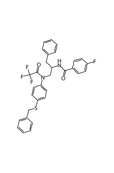 O=C(NC(Cc1ccccc1)CN(C(=O)C(F)(F)F)c1ccc(SCc2ccccc2)cc1)c1ccc(F)cc1